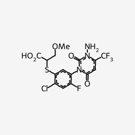 COCC(Sc1cc(-n2c(=O)cc(C(F)(F)F)n(N)c2=O)c(F)cc1Cl)C(=O)O